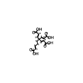 O=C(O)C=CCCC(C=CC(=O)O)(C=CC(=O)O)C=CC(=O)O